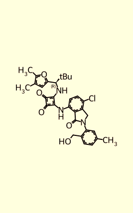 Cc1ccc(CO)c(N2Cc3c(Cl)ccc(Nc4c(N[C@@H](c5cc(C)c(C)o5)C(C)(C)C)c(=O)c4=O)c3C2=O)c1